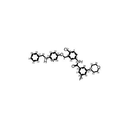 O=C(Nc1ccc(Cl)c(COc2ccc(NCc3ccccc3)nc2)c1)c1cc(F)cc(N2CCOCC2)c1